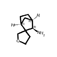 N[C@@H]1[C@@H]2CC[C@@H](C2)C12CCOC2